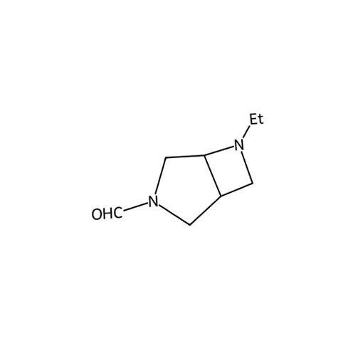 CCN1CC2CN(C=O)CC21